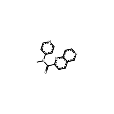 CN(C(=O)c1ccc2cnccc2n1)c1ccncc1